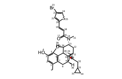 Cc1cc(O)c2c3c1C[C@@H]1[C@@H]4CC[C@@H](N(C)C(=O)/C=C/c5cc(Br)cs5)[C@H](O2)[C@]34CCN1CC1CC1